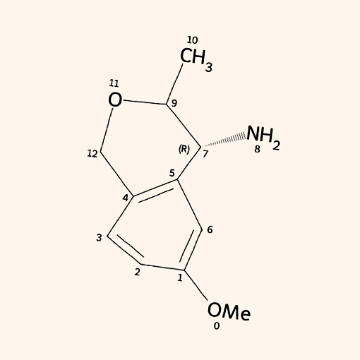 COc1ccc2c(c1)[C@@H](N)C(C)OC2